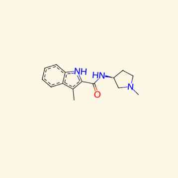 Cc1c(C(=O)N[C@H]2CCN(C)C2)[nH]c2ccccc12